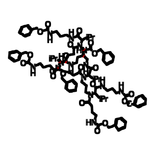 CC(C)C(C(=O)NCCCNC(=O)OCc1ccccc1)N(CCCNC(=O)C(C(C)C)N(CCCN(C(=O)CCCNC(=O)OCc1ccccc1)C(C(=O)NCCCNC(=O)OCc1ccccc1)C(C)C)C(=O)CCCN(C(=O)CCCNC(=O)OCc1ccccc1)C(C(=O)NCCCNC(=O)OCc1ccccc1)C(C)C)C(=O)CCCNC(=O)OCc1ccccc1